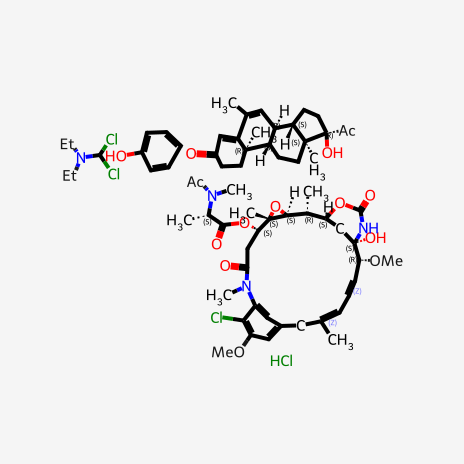 CC(=O)[C@@]1(O)CC[C@H]2[C@@H]3C=C(C)C4=CC(=O)CC[C@]4(C)[C@H]3CC[C@@]21C.CCN(CC)C(Cl)Cl.COc1cc2cc(c1Cl)N(C)C(=O)C[C@H](OC(=O)[C@H](C)N(C)C(C)=O)[C@]1(C)O[C@H]1[C@H](C)[C@@H]1C[C@@](O)(NC(=O)O1)[C@H](OC)/C=C\C=C(\C)C2.Cl.Oc1ccccc1